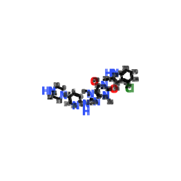 Cn1c(Nc2ccc(N3CCNCC3)cn2)nc2c1c(=O)n(Cc1cc3c(Cl)cccc3[nH]1)c(=O)n2C